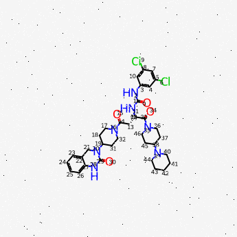 O=C(Nc1cc(Cl)cc(Cl)c1)N[C@@H](CC(=O)N1CCC(N2Cc3ccccc3NC2=O)CC1)C(=O)N1CCC(N2CCCCC2)CC1